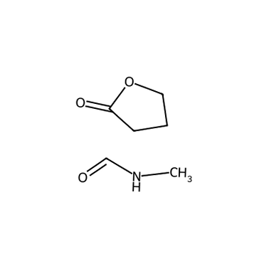 CNC=O.O=C1CCCO1